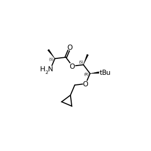 C[C@H](N)C(=O)O[C@@H](C)[C@H](OCC1CC1)C(C)(C)C